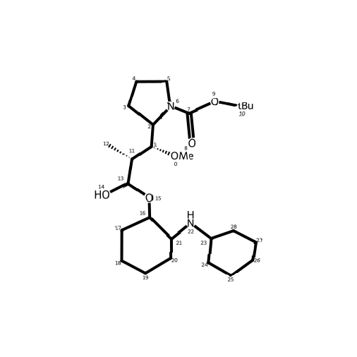 CO[C@@H](C1CCCN1C(=O)OC(C)(C)C)[C@@H](C)C(O)OC1CCCCC1NC1CCCCC1